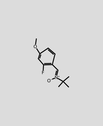 COc1ccc(C=[N+]([O-])C(C)(C)C)c(F)c1